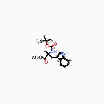 COC(=O)C(C)(Cc1c[nH]c2ccccc12)NC(=O)OC(C)(C)C(F)(F)F